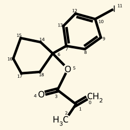 C=C(C)C(=O)OC1(c2ccc(I)cc2)CCCCC1